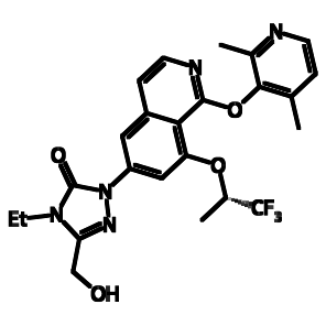 CCn1c(CO)nn(-c2cc(O[C@@H](C)C(F)(F)F)c3c(Oc4c(C)ccnc4C)nccc3c2)c1=O